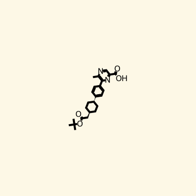 Cc1ncc(C(=O)O)nc1-c1ccc([C@H]2CC[C@H](CC(=O)OC(C)(C)C)CC2)cc1